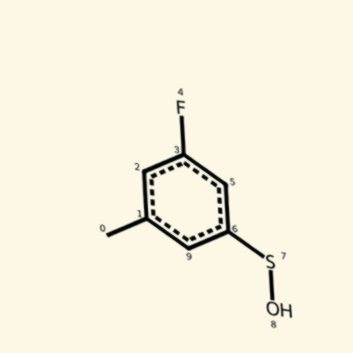 Cc1cc(F)cc(SO)c1